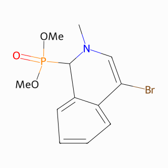 COP(=O)(OC)C1c2ccccc2C(Br)=CN1C